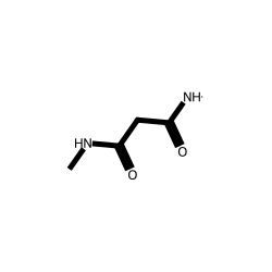 CNC(=O)CC([NH])=O